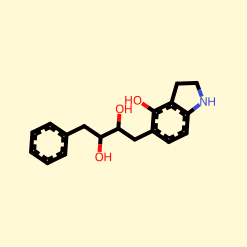 Oc1c(CC(O)C(O)Cc2ccccc2)ccc2c1CCN2